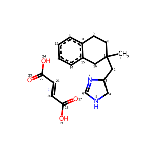 CC1(CC2CNC=N2)CCc2ccccc2C1.O=C(O)/C=C/C(=O)O